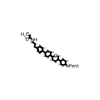 C=CC(=O)NCCCc1ccc(C2CCC(C3CCC(C4CCC(CCCCC)CC4)CO3)CC2)cc1